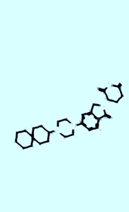 O=C1CC[C@H](N2Cc3cc(N4CCN(C5CCC6(CCCCC6)CC5)CC4)ccc3C2=O)C(=O)N1